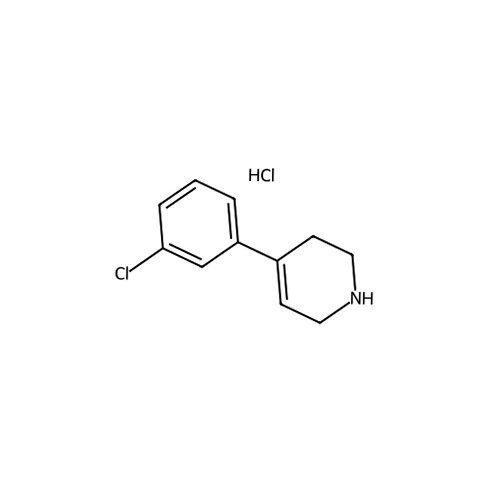 Cl.Clc1cccc(C2=CCNCC2)c1